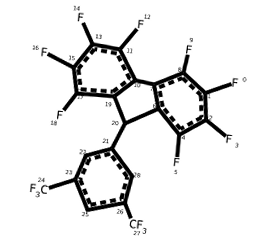 Fc1c(F)c(F)c2c(c1F)-c1c(F)c(F)c(F)c(F)c1C2c1cc(C(F)(F)F)cc(C(F)(F)F)c1